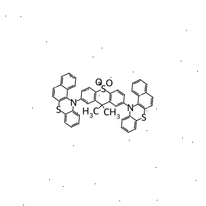 CC1(C)c2cc(N3c4ccccc4Sc4ccc5ccccc5c43)ccc2S(=O)(=O)c2ccc(N3c4ccccc4Sc4ccc5ccccc5c43)cc21